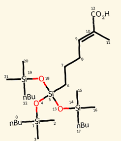 CCCC[Si](C)(C)O[Si](CCCC=C(C)C(=O)O)(O[Si](C)(C)CCCC)O[Si](C)(C)CCCC